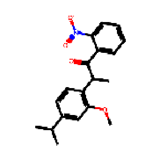 COc1cc(C(C)C)ccc1C(C)C(=O)c1ccccc1[N+](=O)[O-]